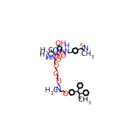 CCC(=C(c1ccccc1)c1ccc(OCCN(C)CCOCCOCCOCC(=O)N[C@H](C(=O)N2C[C@H](O)C[C@H]2C(=O)NCc2ccc(-c3scnc3C)cc2)C(C)(C)C)cc1)c1ccccc1